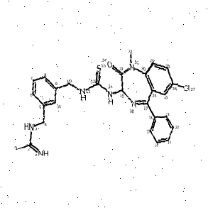 CC(=N)NCc1cccc(CNC(=S)NC2N=C(c3ccccc3)c3cc(Cl)ccc3N(C)C2=O)c1